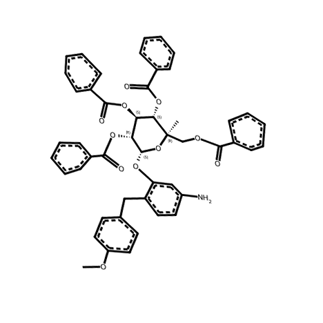 COc1ccc(Cc2ccc(N)cc2O[C@H]2O[C@](C)(COC(=O)c3ccccc3)[C@@H](OC(=O)c3ccccc3)[C@H](OC(=O)c3ccccc3)[C@H]2OC(=O)c2ccccc2)cc1